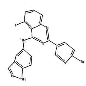 Fc1cccc2nc(-c3ccc(Br)cc3)nc(Nc3ccc4[nH]ncc4c3)c12